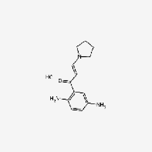 Cl.Nc1ccc(N)c(C(=O)C=CN2CCCC2)c1